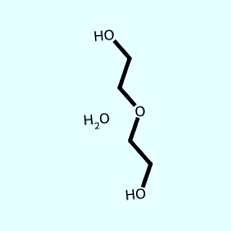 O.OCCOCCO